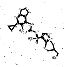 CCC1COc2c(S(N)(=O)=NC(=O)Nc3c(C)c(C4CC4)nc4c3CCC4)cnn2C1